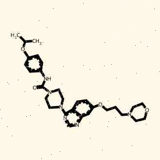 CC(C)Oc1ccc(NC(=O)N2CCN(c3ncnc4cc(OCCCN5CCOCC5)ccc34)CC2)cc1